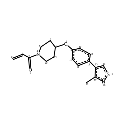 C=CC(=O)N1CCC(Oc2ccc(-c3csnc3C)cc2)CC1